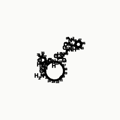 CN(C)C(=O)[C@@H](NC(=O)CNC(=O)C(=O)[C@@H]1CCCCC=CCCCC[C@H](N)C(=O)N2C[C@@H]3OC(C)(C)C[C@@H]3[C@H]2C(=O)N1)c1ccccc1